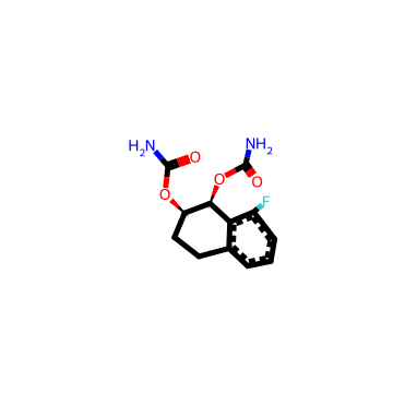 NC(=O)O[C@@H]1CCc2cccc(F)c2[C@@H]1OC(N)=O